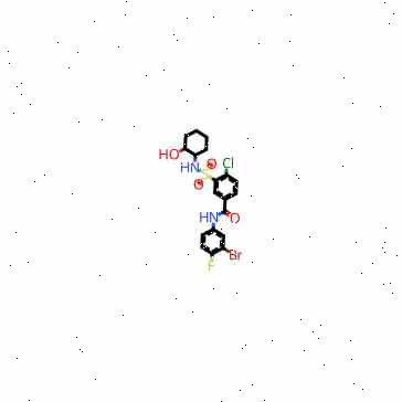 O=C(Nc1ccc(F)c(Br)c1)c1ccc(Cl)c(S(=O)(=O)NC2CCCCC2O)c1